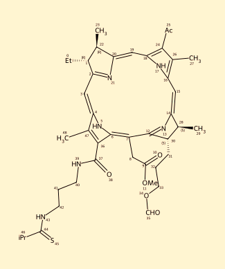 CC[C@H]1c2cc3[nH]c(c(CC(=O)OC)c4nc(cc5[nH]c(cc(n2)[C@@H]1C)c(C(C)=O)c5C)[C@@H](C)[C@@H]4CCCOC=O)c(C(=O)NCCCNC(=S)C(C)C)c3C